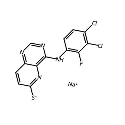 Fc1c(Nc2ncnc3ccc([S-])nc23)ccc(Cl)c1Cl.[Na+]